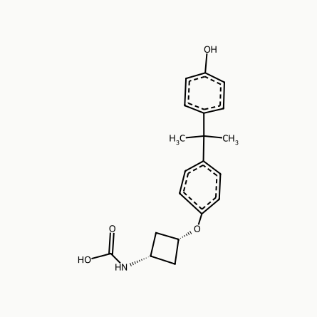 CC(C)(c1ccc(O)cc1)c1ccc(O[C@H]2C[C@@H](NC(=O)O)C2)cc1